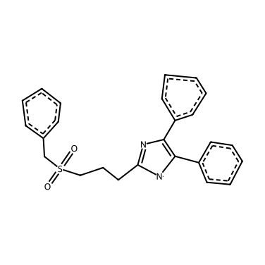 O=S(=O)(CCCC1=NC(c2ccccc2)=C(c2ccccc2)[N]1)Cc1ccccc1